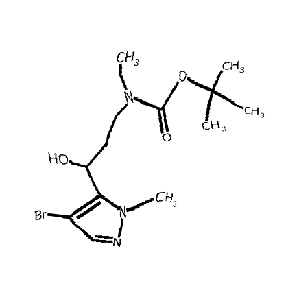 CN(CCC(O)c1c(Br)cnn1C)C(=O)OC(C)(C)C